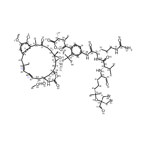 COc1cc2cc(c1Cl)N(C)C(=O)C[C@H](OC(=O)[C@H](C)N(C)C(=O)c1ccc(NC(=O)[C@H](CCCNC(N)=O)NC(=O)[C@@H](NC(C=O)CCCC(C)(C)OC(C=O)(CBr)CBr)C(C)C)cc1C(F)(F)F)[C@]1(C)O[C@H]1[C@H](C)[C@@H]1C[C@@](O)(NC(=O)O1)[C@H](OC)/C=C/C=C(\C)C2